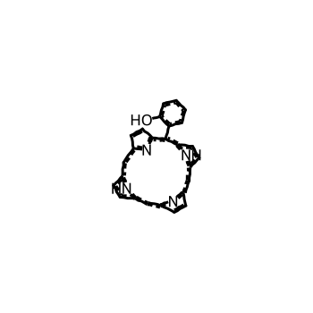 Oc1ccccc1-c1c2nc(cc3ccc(cc4nc(cc5ccc1[nH]5)C=C4)[nH]3)C=C2